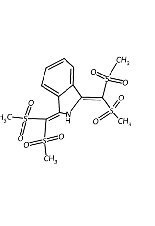 CS(=O)(=O)C(=c1[nH]c(=C(S(C)(=O)=O)S(C)(=O)=O)c2ccccc12)S(C)(=O)=O